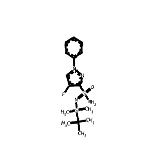 CC(C)(C)[Si](C)(C)N=S(N)(=O)c1nn(-c2ccccc2)cc1F